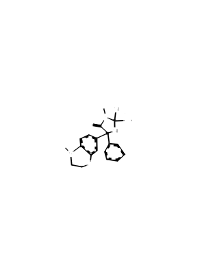 CC(=O)OC1(N)NC(c2ccccc2)(c2ccc3c(c2)OCCN3C)C(=O)N1C